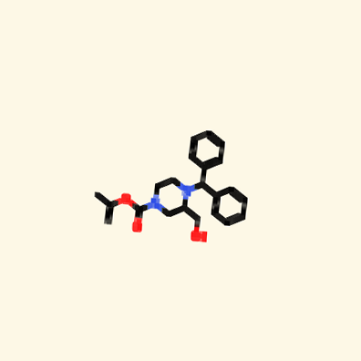 C=C(C)OC(=O)N1CCN(C(c2ccccc2)c2ccccc2)C(CO)C1